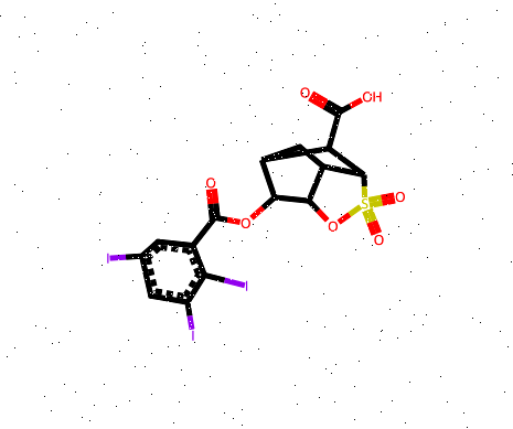 O=C(OC1C2CC3C1OS(=O)(=O)C3C2C(=O)O)c1cc(I)cc(I)c1I